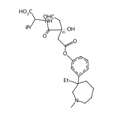 CCC1(c2cccc(OC(=O)C[C@](O)(CC=O)C(=O)NC(C(=O)O)C(C)C)c2)CCCCN(C)C1